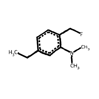 CCc1ccc(CF)c(N(C)C)c1